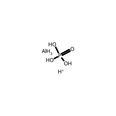 O=P(O)(O)O.[AlH3].[H+]